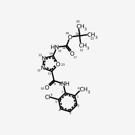 Cc1cccc(Cl)c1NC(=O)c1nnc(NC(=O)OC(C)(C)C)o1